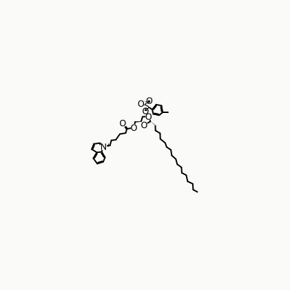 CCCCCCCCCCCCCCCCC[C@H]1OC[C@H](COC(=O)CCCCC[n+]2cccc3ccccc32)O1.Cc1ccc(S(=O)(=O)[O-])cc1